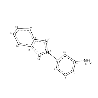 Nc1cccc(-n2nc3ccccc3n2)c1